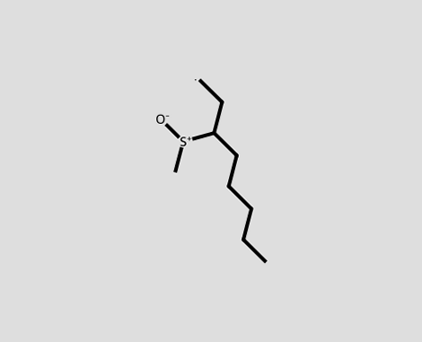 [CH2]CC(CCCCC)[S+](C)[O-]